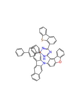 c1ccc(-c2ccc(C3N=C(c4cccc5c4sc4ccccc45)N=C(c4c(-n5c6cc7ccccc7cc6c6cc7ccccc7cc65)ccc5oc6ccccc6c45)N3)cc2)cc1